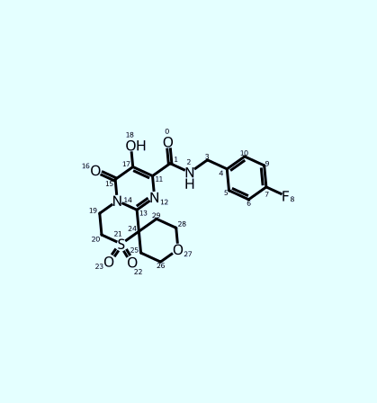 O=C(NCc1ccc(F)cc1)c1nc2n(c(=O)c1O)CCS(=O)(=O)C21CCOCC1